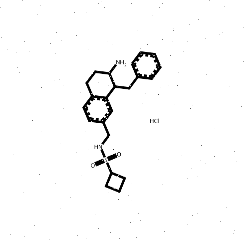 Cl.NC1CCc2ccc(CNS(=O)(=O)C3CCC3)cc2C1Cc1ccccc1